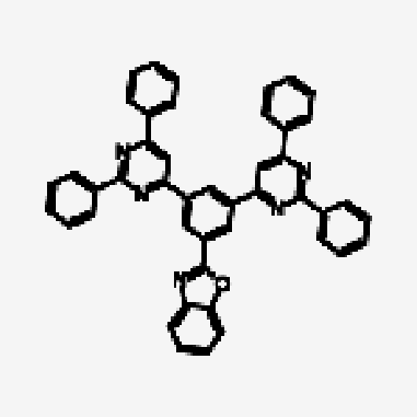 c1ccc(-c2cc(-c3cc(-c4cc(-c5ccccc5)nc(-c5ccccc5)n4)cc(-c4nc5ccccc5o4)c3)nc(-c3ccccc3)n2)cc1